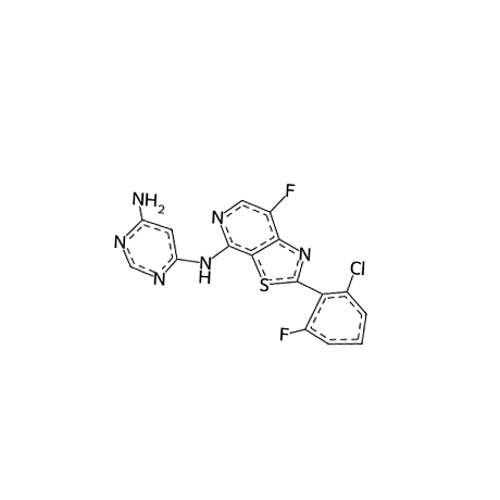 Nc1cc(Nc2ncc(F)c3nc(-c4c(F)cccc4Cl)sc23)ncn1